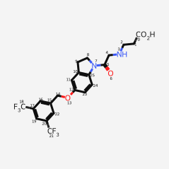 O=C(O)CCNCC(=O)N1CCc2cc(OCc3cc(C(F)(F)F)cc(C(F)(F)F)c3)ccc21